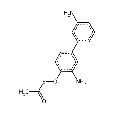 CC(=O)SOc1ccc(-c2cccc(N)c2)cc1N